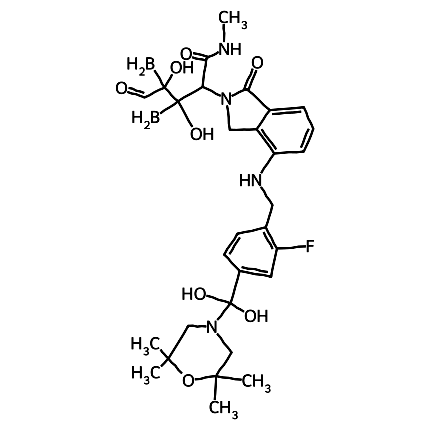 BC(O)(C=O)C(B)(O)C(C(=O)NC)N1Cc2c(NCc3ccc(C(O)(O)N4CC(C)(C)OC(C)(C)C4)cc3F)cccc2C1=O